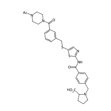 CC(=O)N1CCN(C(=O)c2cccc(CSc3cnc(NC(=O)c4ccc(CN5CCCC5C(=O)O)cc4)s3)c2)CC1